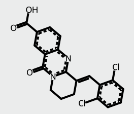 O=C(O)c1ccc2nc3n(c(=O)c2c1)CCCC3=Cc1c(Cl)cccc1Cl